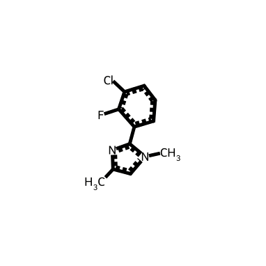 Cc1cn(C)c(-c2cccc(Cl)c2F)n1